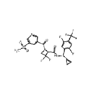 CS(=O)(=O)c1cncc(C(=O)N2CC(F)(F)C2C(=O)N[C@H](C2=CC2)c2cc(F)c(C(F)(F)F)cc2F)c1